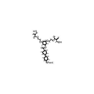 C=C(CO)C(=O)OCCOc1cc(OCCOC(=O)C(=C)CO)cc(OC(=O)c2ccc(-c3ccc(CCCCC)cc3)cc2)c1